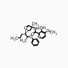 CCC[C@@H](OC[C@@](C)(C=O)NC(=O)c1nccc(OC)c1O)[C@H](C)Oc1ccccc1